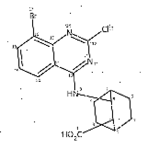 O=C(O)C1C2CCC(CC2)C1Nc1nc(Cl)nc2c(Br)cccc12